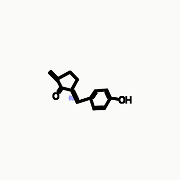 C=C1CC/C(=C\c2ccc(O)cc2)C1=O